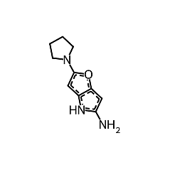 Nc1cc2oc(N3CCCC3)cc2[nH]1